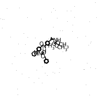 CC(C)(C)OC(=O)NC1CC1c1ccc(NC(=O)c2ccc(N3CCCCC3)c(NC(=O)OCc3ccccc3)c2)cc1